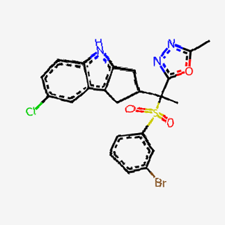 Cc1nnc(C(C)(C2Cc3[nH]c4ccc(Cl)cc4c3C2)S(=O)(=O)c2cccc(Br)c2)o1